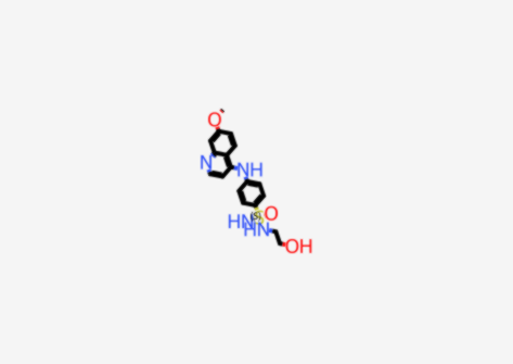 COc1ccc2c(Nc3ccc([S@](=N)(=O)NCCO)cc3)ccnc2c1